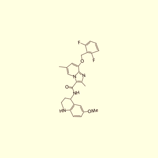 COc1ccc2c(c1)C(NC(=O)c1c(C)nc3c(OCc4c(F)cccc4F)cc(C)cn13)CCN2